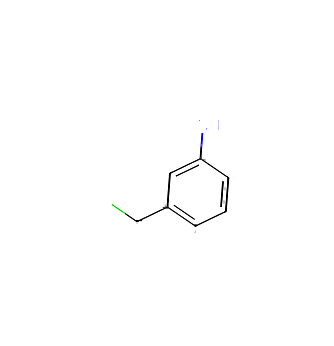 Nc1cccc([CH]Cl)c1